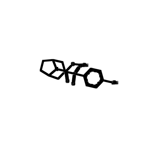 CC(C)(C)OC(=O)N1C2CCC1CN(S(=O)(=O)c1ccc(C(C)(C)C)cc1)C2